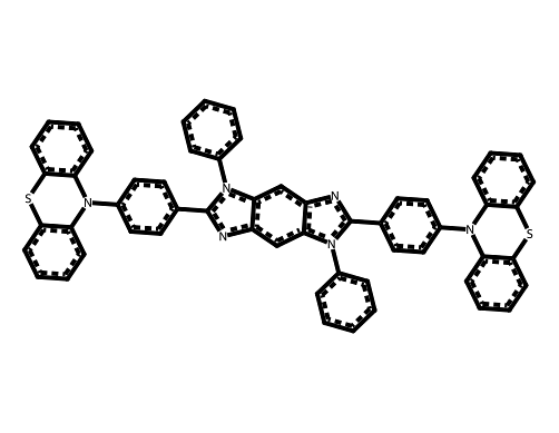 c1ccc(-n2c(-c3ccc(N4c5ccccc5Sc5ccccc54)cc3)nc3cc4c(cc32)nc(-c2ccc(N3c5ccccc5Sc5ccccc53)cc2)n4-c2ccccc2)cc1